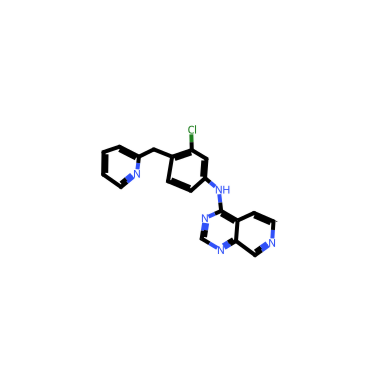 Clc1cc(Nc2ncnc3cn[c]cc23)ccc1Cc1ccccn1